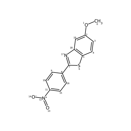 COc1ccc2sc(-c3ccc([N+](=O)[O-])cc3)nc2c1